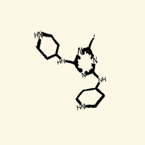 Ic1nc(NC2CCNCC2)nc(NC2CCNCC2)n1